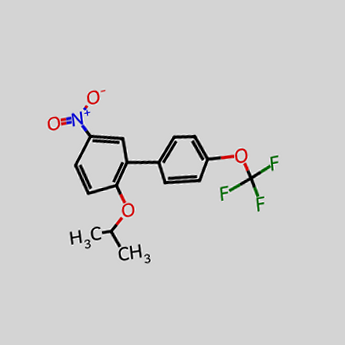 CC(C)Oc1ccc([N+](=O)[O-])cc1-c1ccc(OC(F)(F)F)cc1